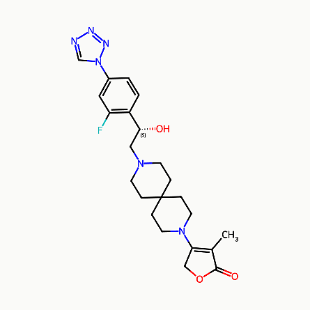 CC1=C(N2CCC3(CCN(C[C@@H](O)c4ccc(-n5cnnn5)cc4F)CC3)CC2)COC1=O